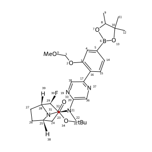 COCOc1cc(B2OC(C)C(C)(C)O2)ccc1-c1cnc(N(C)[C@H]2C[C@@H]3CC[C@H]([C@H]2F)N3C(=O)OC(C)(C)C)cn1